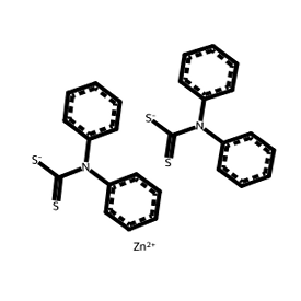 S=C([S-])N(c1ccccc1)c1ccccc1.S=C([S-])N(c1ccccc1)c1ccccc1.[Zn+2]